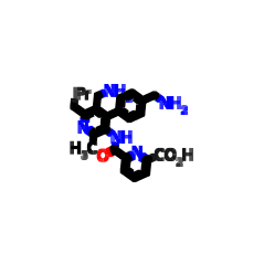 Cc1nc(CC(C)C)c(CN)c(-c2ccc(CN)cc2)c1NC(=O)c1cccc(C(=O)O)n1